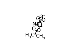 CC(C)C(=O)Oc1ccc(S(=O)(=O)[O-])cc1.[Na+]